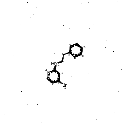 Brc1ccnc(NCCc2ccccc2)c1